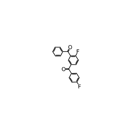 O=C(c1ccc(F)cc1)c1ccc(F)c(C(=O)c2ccccc2)c1